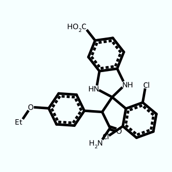 CCOc1ccc(C(C(N)=O)C2(c3c(Cl)cccc3Cl)Nc3ccc(C(=O)O)cc3N2)cc1